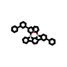 c1ccc(-c2cccc(-c3cccc(-n4c5ccccc5c5ccc6c7cc(-c8ccccc8)ccc7n(-c7ccccc7)c6c54)c3)c2)cc1